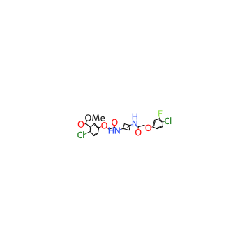 COC(=O)c1cc(OCC(=O)NC23CC(NC(=O)COc4ccc(Cl)c(F)c4)(C2)C3)ccc1Cl